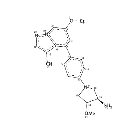 CCOc1cc(-c2ccc(N3C[C@@H](N)[C@H](OC)C3)nc2)c2c(C#N)cnn2c1